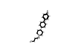 FCCC[Si@H]1CC[C@H](C2CCC(c3ccc(F)cc3)CC2)CC1